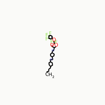 C=CCCCC1CCC(/C=C/C2CCC(/C=C/C3COC(C(F)(F)Oc4cc(F)c(F)c(F)c4)OC3)CC2)CC1